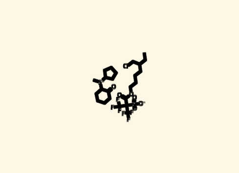 CCC(CCl)CCCCOC(=O)C(C(F)(F)F)(C(F)(F)F)S(=O)(=O)[O-].C[S+](C1CCCC1)C1CCCCC1=O